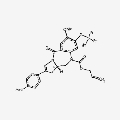 C=CCOC(=O)N1C[C@@H]2CC(c3ccc(OC)cc3)=CN2C(=O)c2cc(OC)c(O[Si](C(C)C)(C(C)C)C(C)C)cc21